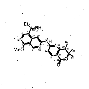 CC[C@H](N)c1cnc(OC)c2cnc(Nc3ccc4c(n3)[C@@H](C)C(C)(C)OC4=O)cc12